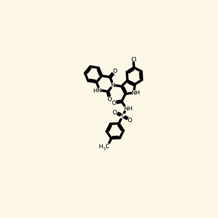 Cc1ccc(S(=O)(=O)NC(=O)c2[nH]c3ccc(Cl)cc3c2-n2c(=O)[nH]c3ccccc3c2=O)cc1